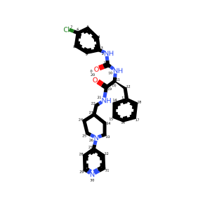 O=C(Nc1ccc(Cl)cc1)N[C@@H](Cc1ccccc1)C(=O)NCC1CCN(c2ccncc2)CC1